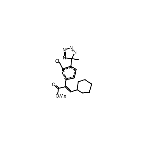 COC(=O)/C(=C/C1CCCCC1)c1ccc(C2(C)N=NN=N2)c(Cl)c1